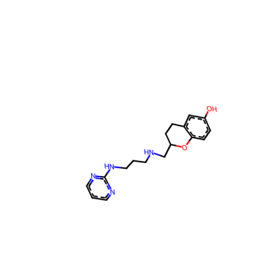 Oc1ccc2c(c1)CCC(CNCCCNc1ncccn1)O2